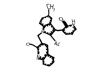 CC(=O)c1c(-c2ccc[nH]c2=O)c2cc(C)ccc2n1Cc1cc2ccccc2nc1Cl